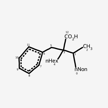 CCCCCCCCCC(C)C(CCCCCC)(Cc1ccccc1)C(=O)O